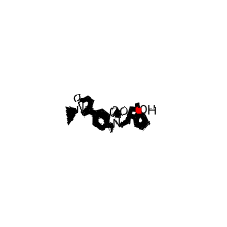 C[C@@H](c1ccc(-c2ccc(=O)n(C3CC3)c2)cc1)N1CCC(CC(C)(C)O)(c2ccccc2)OC1=O